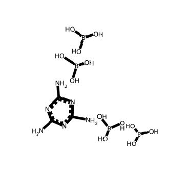 Nc1nc(N)nc(N)n1.OB(O)O.OB(O)O.OB(O)O.OB(O)O